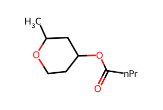 CCCC(=O)OC1CCOC(C)C1